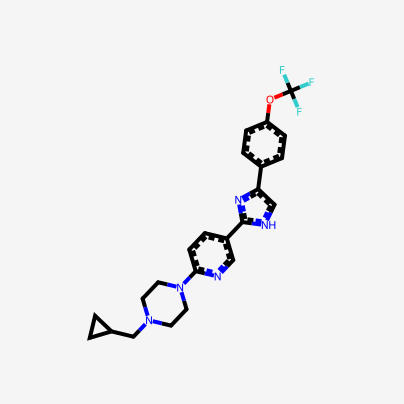 FC(F)(F)Oc1ccc(-c2c[nH]c(-c3ccc(N4CCN(CC5CC5)CC4)nc3)n2)cc1